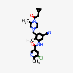 Cc1ncc(C(=O)Nc2cc(C#N)cc(CN3CCN(C(=O)CC4CC4)C(C)C3)c2C)cc1Cl